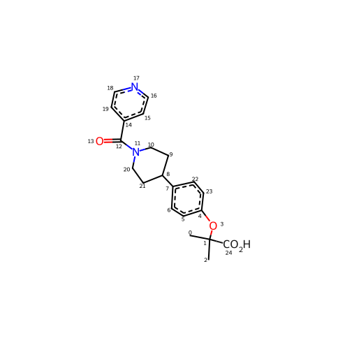 CC(C)(Oc1ccc(C2CCN(C(=O)c3ccncc3)CC2)cc1)C(=O)O